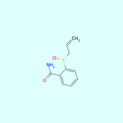 C=CC[S+]([O-])c1ccccc1C(N)=O